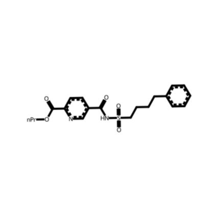 CCCOC(=O)c1ccc(C(=O)NS(=O)(=O)CCCCc2ccccc2)cn1